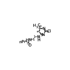 CCCC(=O)NCCNc1cc(C)nc(Cl)n1